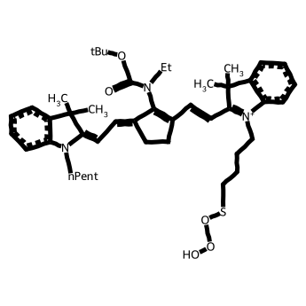 CCCCCN1/C(=C/C=C2\CCC(/C=C/C3=[N+](CCCCSOOO)c4ccccc4C3(C)C)=C2N(CC)C(=O)OC(C)(C)C)C(C)(C)c2ccccc21